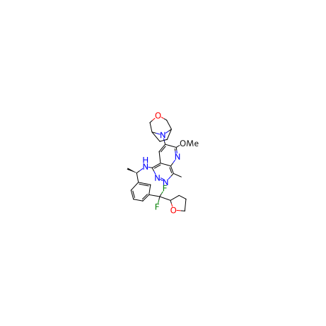 COc1nc2c(C)nnc(N[C@H](C)c3cccc(C(F)(F)C4CCCO4)c3)c2cc1N1C2CCC1COC2